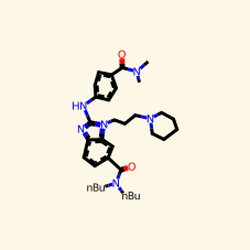 CCCCN(CCCC)C(=O)c1ccc2nc(Nc3ccc(C(=O)N(C)C)cc3)n(CCCN3CCCCC3)c2c1